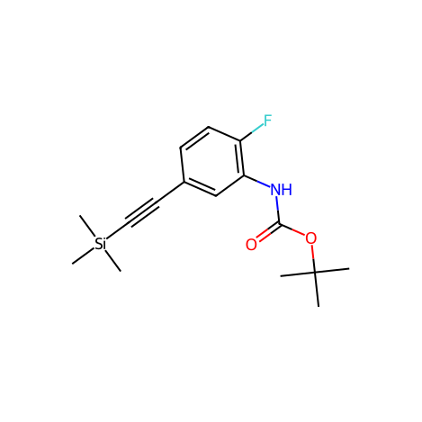 CC(C)(C)OC(=O)Nc1cc(C#C[Si](C)(C)C)ccc1F